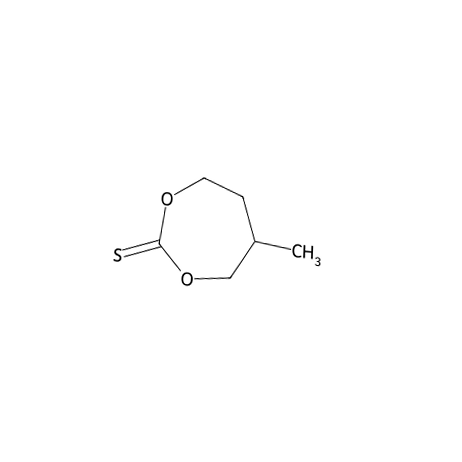 CC1CCOC(=S)OC1